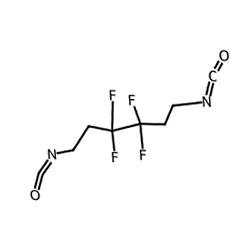 O=C=NCCC(F)(F)C(F)(F)CCN=C=O